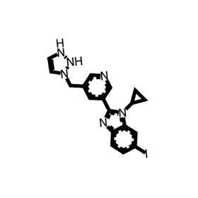 Ic1ccc2nc(-c3cncc(CN4C=CNN4)c3)n(C3CC3)c2c1